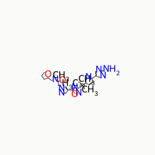 CC(C)[C@](C)(c1ccc(-c2cnc(N)nc2)nc1)c1noc(-c2cnn(CC(=O)N(C)CC3CCCO3)c2)n1